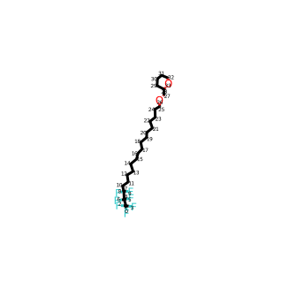 FC(F)(F)C(F)(F)C(F)(F)CCCCCCCCCCCCCCCCOCC1CCCCO1